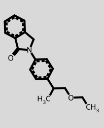 CCOCC(C)c1ccc(N2Cc3ccccc3C2=O)cc1